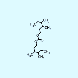 CCC(C)C(C)CCOC(=O)OCCC(C)C(C)CC